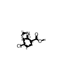 COC(=O)c1ccc(Cl)c2scnc12